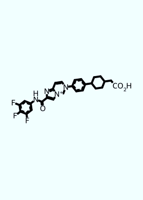 O=C(O)CC1CCC(c2ccc(N3C=CC4=NC(C(=O)Nc5cc(F)c(F)c(F)c5)=C[N+]4C3)cc2)CC1